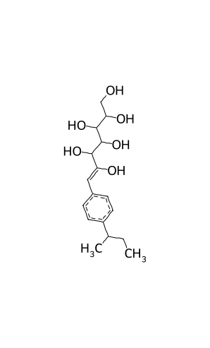 CCC(C)c1ccc(C=C(O)C(O)C(O)C(O)C(O)CO)cc1